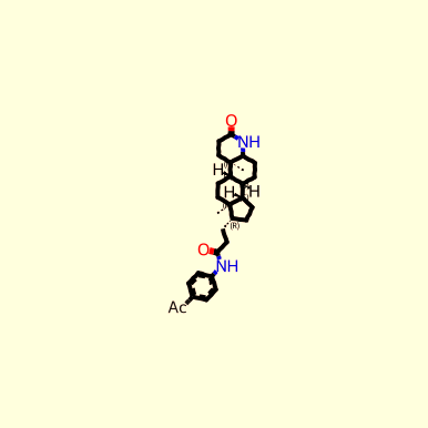 CC(=O)c1ccc(NC(=O)CC[C@H]2CC[C@H]3[C@@H]4CCC5NC(=O)CC[C@]5(C)[C@H]4CC[C@]23C)cc1